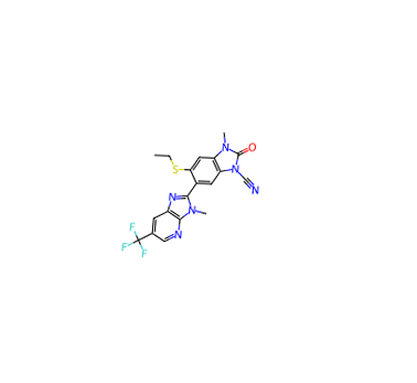 CCSc1cc2c(cc1-c1nc3cc(C(F)(F)F)cnc3n1C)n(C#N)c(=O)n2C